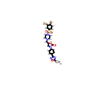 Cc1nc(-c2ccc(N3CC(CN4CCN(S(=O)(=O)c5ccc(Br)c(Br)c5)CC4)OC3=O)cc2)no1